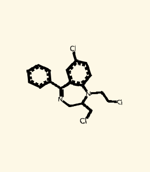 ClCCN1c2ccc(Cl)cc2C(c2ccccc2)=NCC1CCl